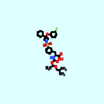 CC(C)CO[C@H](C)OC(=O)NC(Cc1cccc(S(=O)(=O)N2CC(Oc3cccc(F)c3)(c3ccccc3)C2)c1)C(=O)O